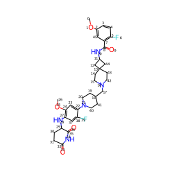 COc1ccc(F)c(C(=O)NC2CC3(CCN(CC4CCN(c5cc(OC)c(NC6CCC(=O)NC6=O)cc5F)CC4)CC3)C2)c1